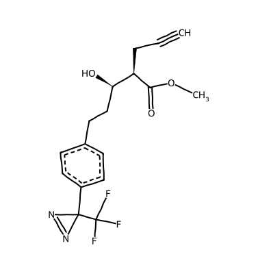 C#CC[C@@H](C(=O)OC)[C@H](O)CCc1ccc(C2(C(F)(F)F)N=N2)cc1